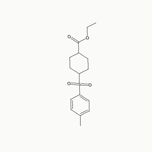 CCOC(=O)C1CCC(S(=O)(=O)c2ccc(C)cc2)CC1